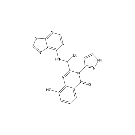 CCC(Nc1ncnc2scnc12)c1nc2c(C#N)cccc2c(=O)n1-c1cc[nH]n1